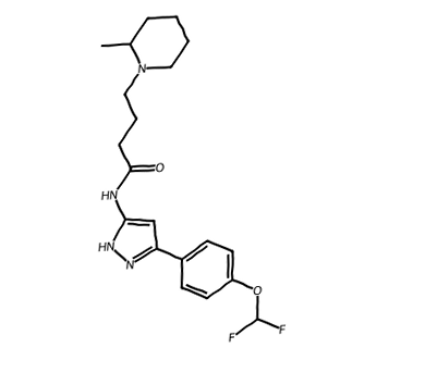 CC1CCCCN1CCCC(=O)Nc1cc(-c2ccc(OC(F)F)cc2)n[nH]1